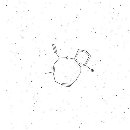 C#CC1/C=C(/C)CC#CCCc2c(Br)cccc2O1